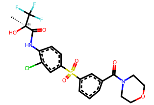 C[C@@](O)(C(=O)Nc1ccc(S(=O)(=O)c2cccc(C(=O)N3CCOCC3)c2)cc1Cl)C(F)(F)F